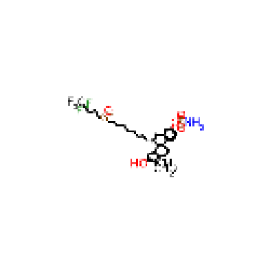 C=C1[C@H](O)CC2C3C(CC[C@]12C)c1ccc(OS(N)(=O)=O)cc1C[C@H]3CCCCCCCCC[S+]([O-])CCCC(F)(F)C(F)(F)F